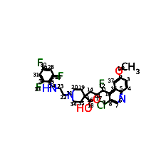 COc1ccc2ncc(Cl)c([C@H](F)CCC3(C(=O)O)CCN(CCNc4c(F)cc(F)cc4F)CC3)c2c1